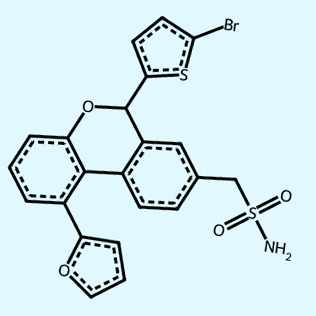 NS(=O)(=O)Cc1ccc2c(c1)C(c1ccc(Br)s1)Oc1cccc(-c3ccco3)c1-2